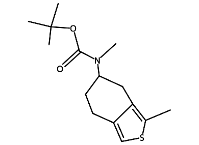 Cc1scc2c1CC(N(C)C(=O)OC(C)(C)C)CC2